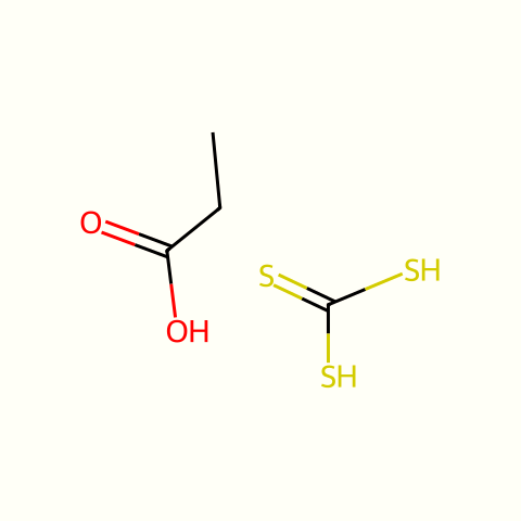 CCC(=O)O.S=C(S)S